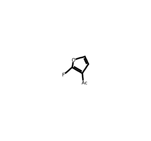 CC(=O)c1ccoc1F